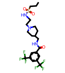 CCCS(=O)(=O)NCCN1CCC(CNC(=O)c2cc(C(F)(F)F)cc(C(F)(F)F)c2)CC1